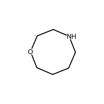 [CH]1CNCCCCO1